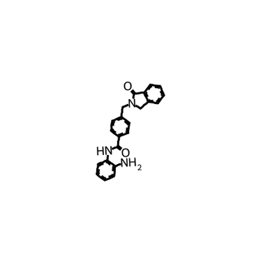 Nc1ccccc1NC(=O)c1ccc(CN2Cc3ccccc3C2=O)cc1